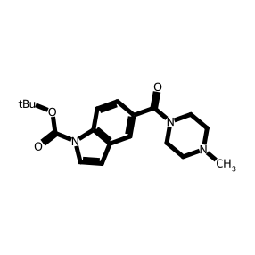 CN1CCN(C(=O)c2ccc3c(ccn3C(=O)OC(C)(C)C)c2)CC1